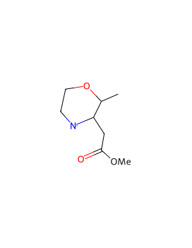 COC(=O)CC1[N]CCOC1C